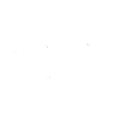 CC(C)c1cc(Cl)cnc1OCCN(C)C